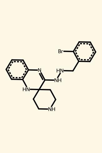 Brc1ccccc1CNNC1=Nc2ccccc2NC12CCNCC2